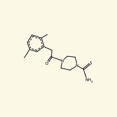 Cc1ccc(C)c(CC(=O)N2CCN(C(N)=S)CC2)c1